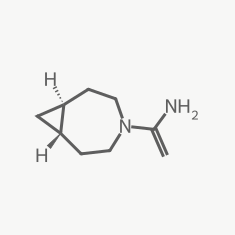 C=C(N)N1CC[C@@H]2C[C@H]2CC1